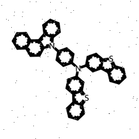 c1ccc2c(c1)ccc1c2c2ccccc2n1-c1ccc(N(c2ccc3c(c2)sc2ccccc23)c2ccc3sc4ccccc4c3c2)cc1